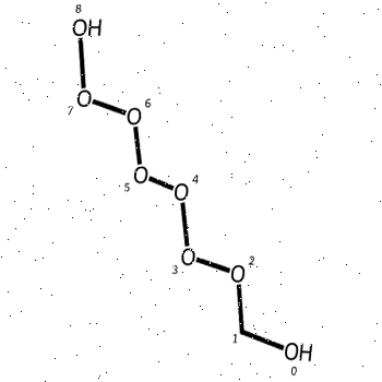 OCOOOOOOO